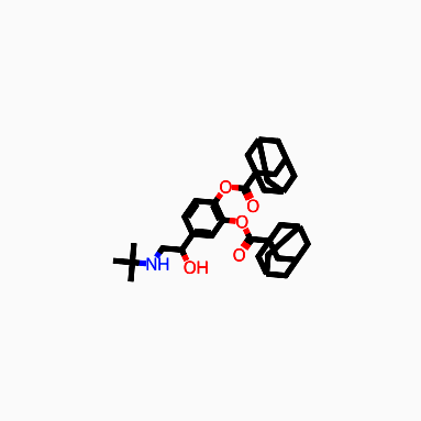 CC(C)(C)NCC(O)c1ccc(OC(=O)C23CC4CC(CC(C4)C2)C3)c(OC(=O)C23CC4CC(CC(C4)C2)C3)c1